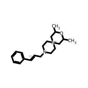 CC1C[N+]2(CCN(C/C=C/c3ccccc3)CC2)CC(C)O1